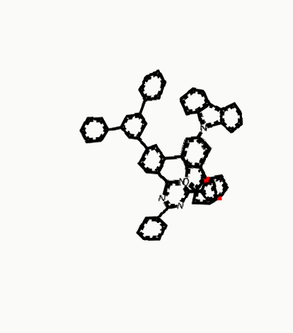 c1ccc(-c2cc(-c3ccccc3)cc(-c3ccc(-c4nc(-c5ccccc5)nc(-c5ccccc5)n4)c(-c4cc(-n5c6ccccc6c6ccccc65)cc5c4oc4ccccc45)c3)c2)cc1